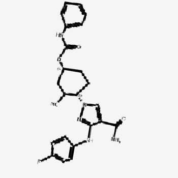 N#CC1C[C@@H](OC(=O)Nc2ccccc2)CC[C@@H]1n1cc(C(N)=O)c(Nc2ccc(F)cc2)n1